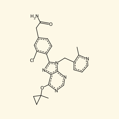 Cc1ncccc1Cn1c(-c2ccc(CC(N)=O)cc2Cl)nc2c(OC3(C)CC3)ncnc21